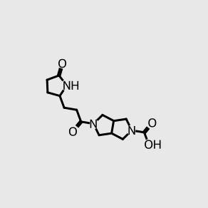 O=C1CCC(CCC(=O)N2CC3CN(C(=O)O)CC3C2)N1